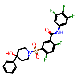 O=C(Nc1cc(F)c(F)c(F)c1)c1cc(S(=O)(=O)N2CCC(O)(c3ccccc3)CC2)c(F)cc1F